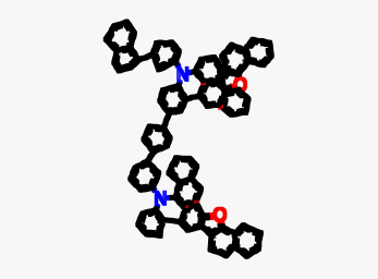 c1ccc(-c2cccc(N(c3cccc(-c4cccc5ccccc45)c3)c3ccc(-c4ccc(-c5cccc(N(c6ccccc6-c6ccc7oc8c9ccccc9ccc8c7c6)c6cccc7ccccc67)c5)cc4)cc3-c3ccc4oc5c6ccccc6ccc5c4c3)c2)cc1